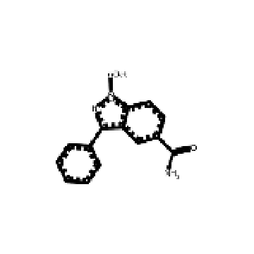 CCCCCCCCn1nc(-c2ccccc2)c2cc(C(N)=O)ccc21